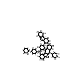 c1ccc(-c2ccc(N(c3ccc(-c4cccc5c4sc4ccccc45)cc3)c3cccc4oc5c(-c6ccccc6)c6ccccc6cc5c34)cc2)cc1